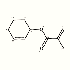 C=C(C)C(=O)OC1C=CCCC1